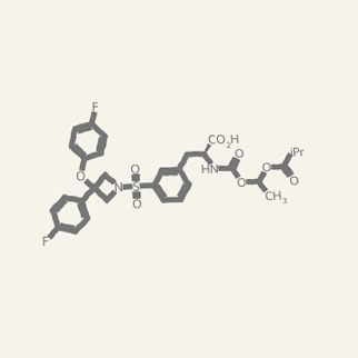 CC(OC(=O)N[C@@H](Cc1cccc(S(=O)(=O)N2CC(Oc3ccc(F)cc3)(c3ccc(F)cc3)C2)c1)C(=O)O)OC(=O)C(C)C